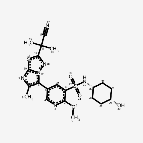 COc1ncc(-c2c(C)nc3sc(C(C)(C)C#N)nn23)cc1S(=O)(=O)N[C@H]1CC[C@@H](O)CC1